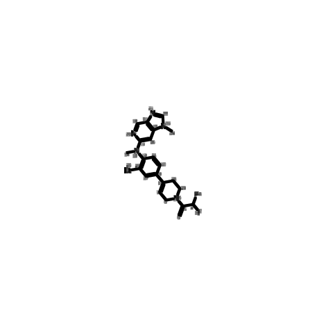 C=C(C(F)F)N1CC=C(c2ccc(N(C)c3cc4c(cn3)ncn4C)c(CC)c2)CC1